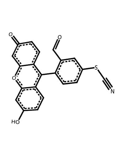 N#CSc1ccc(-c2c3ccc(=O)cc-3oc3cc(O)ccc23)c(C=O)c1